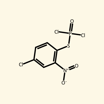 O=[N+]([O-])c1cc(Cl)ccc1SP(=O)(Cl)Cl